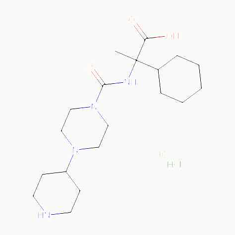 CC(NC(=O)N1CCN(C2CCNCC2)CC1)(C(=O)O)C1CCCCC1.Cl.Cl